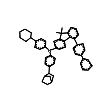 CC1(C)c2cc(N(c3ccc(C4CCCCC4)cc3)c3ccc(C4CC5CCC4C5)cc3)ccc2-c2c(-c3ccc(-c4ccccc4)cc3)cccc21